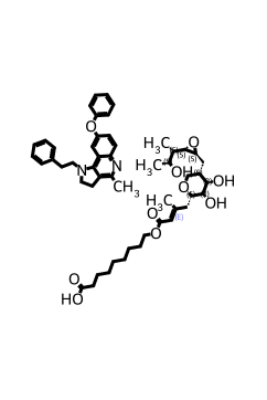 C/C(=C\C(=O)OCCCCCCCCC(=O)O)C[C@@H]1OC[C@H](C[C@@H]2O[C@H]2[C@@H](C)[C@H](C)O)[C@@H](O)[C@H]1O.Cc1nc2ccc(Oc3ccccc3)cc2c2c1CCN2CCc1ccccc1